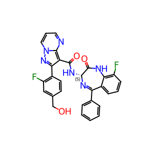 O=C(N[C@H]1N=C(c2ccccc2)c2cccc(F)c2NC1=O)c1c(-c2ccc(CO)cc2F)nn2cccnc12